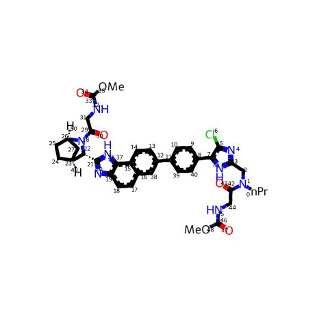 CCCN(Cc1nc(Cl)c(-c2ccc(-c3ccc4c(ccc5nc([C@@H]6[C@H]7CC[C@H](C7)N6C(=O)CNC(=O)OC)[nH]c54)c3)cc2)[nH]1)C(=O)CNC(=O)OC